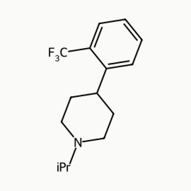 CC(C)N1CCC(c2ccccc2C(F)(F)F)CC1